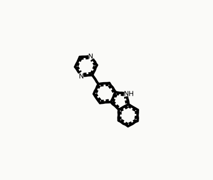 c1ccc2c(c1)[nH]c1cc(-c3cnccn3)ccc12